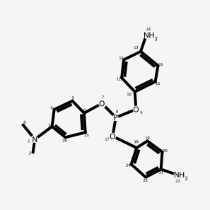 CN(C)c1ccc(OP(Oc2ccc(N)cc2)Oc2ccc(N)cc2)cc1